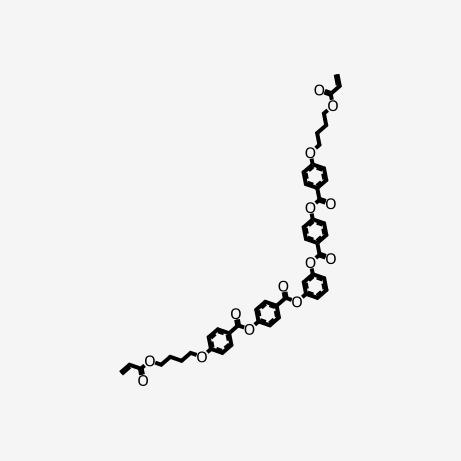 C=CC(=O)OCCCCOc1ccc(C(=O)Oc2ccc(C(=O)Oc3cccc(OC(=O)c4ccc(OC(=O)c5ccc(OCCCCOC(=O)C=C)cc5)cc4)c3)cc2)cc1